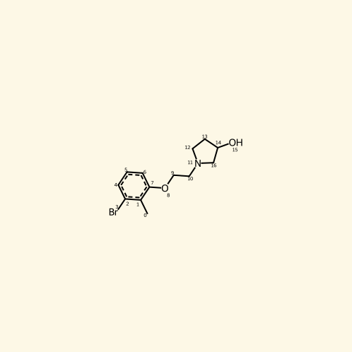 Cc1c(Br)cccc1OCCN1CCC(O)C1